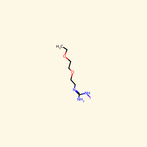 CCOCCOCCN=C(N)NI